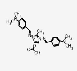 Cc1n(N=Cc2ccc(N(C)C)cc2)cc[n+]1N=Cc1ccc(N(C)C)cc1.O=C([O-])O